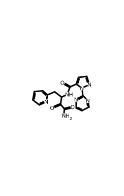 NC(=O)C(=O)C(Cc1ccccn1)NC(=O)c1ccnn1-c1ncccn1